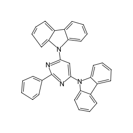 c1ccc(-c2nc(-n3c4ccccc4c4ccccc43)cc(-n3c4ccccc4c4ccccc43)n2)cc1